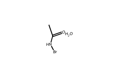 CC(=O)NBr.O